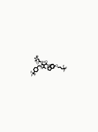 CS(=O)(=O)CC(=O)Nc1c2c(nn1CC1CCC(C(F)(F)F)CC1)C[C@]1(CCc3cc(OCCCC(F)(F)F)ccc31)NC2=O